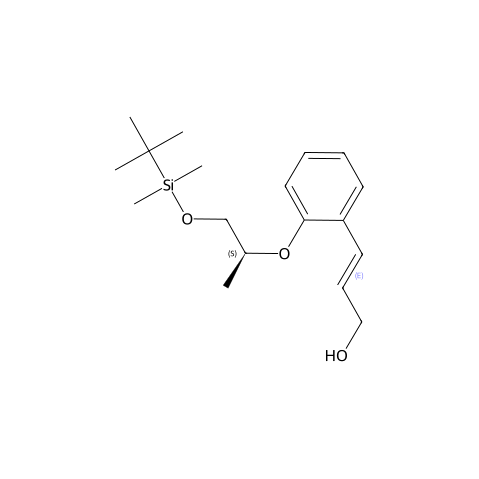 C[C@@H](CO[Si](C)(C)C(C)(C)C)Oc1ccccc1/C=C/CO